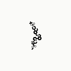 CCOC(=O)c1cnn(-c2cccc(-c3cccc4c3N(Cc3ccc(C5CCN(C(=O)OC(C)(C)C)CC5)c(CC)c3)CC4)n2)c1CC